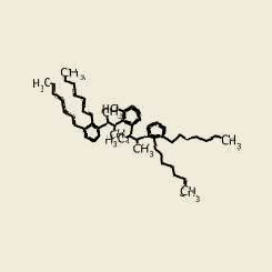 CCCCCCCc1cccc(C(C)C(C)c2cccc(O)c2C(C)C(C)c2cccc(CCCCCCC)c2CCCCCCC)c1CCCCCCC